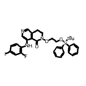 CC(C)(C)[Si](OCCON1CCc2cncc(Nc3ccc(I)cc3F)c2C1=O)(c1ccccc1)c1ccccc1